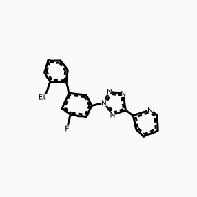 CCc1ccccc1-c1cc(F)cc(-n2nnc(-c3ccccn3)n2)c1